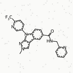 Cn1cc2c3cc(C(=O)NCc4ccccn4)ccc3n(-c3ccc(C(F)(F)F)nc3)c2n1